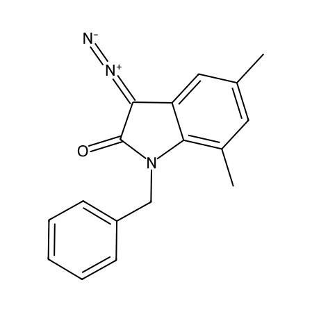 Cc1cc(C)c2c(c1)C(=[N+]=[N-])C(=O)N2Cc1ccccc1